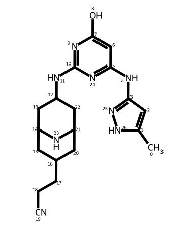 Cc1cc(Nc2cc(O)nc(NC3CC4CC(CCC#N)CC(C3)N4)n2)n[nH]1